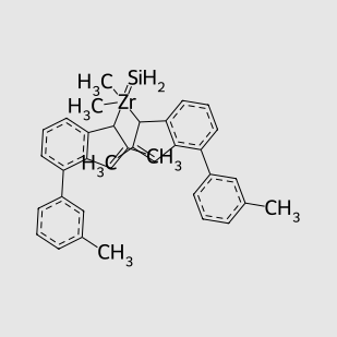 CC1=Cc2c(-c3cccc(C)c3)cccc2[CH]1[Zr]([CH3])([CH3])(=[SiH2])[CH]1C(C)=Cc2c(-c3cccc(C)c3)cccc21